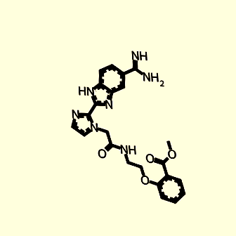 COC(=O)c1ccccc1OCCNC(=O)Cn1ccnc1-c1nc2cc(C(=N)N)ccc2[nH]1